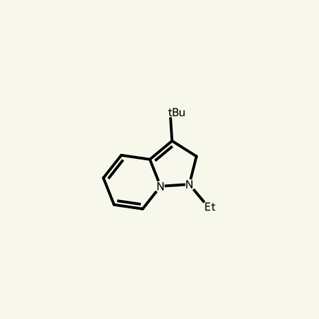 CCN1CC(C(C)(C)C)=C2C=CC=CN21